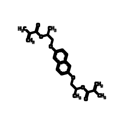 C=C(C)C(=O)OC(C)COc1ccc2cc(OCC(C)OC(=O)C(=C)C)ccc2c1